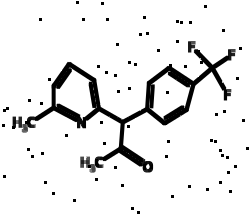 CC(=O)C(c1ccc(C(F)(F)F)cc1)c1cccc(C)n1